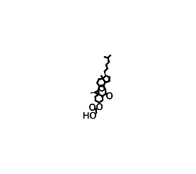 CC(C)CCCC[C@H]1CCC2C3C4OC5(C3CCC21C)[C@H](C)C51CCC(OC(=O)CO)CC1C4=O